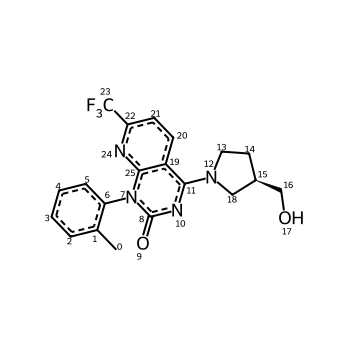 Cc1ccccc1-n1c(=O)nc(N2CC[C@@H](CO)C2)c2ccc(C(F)(F)F)nc21